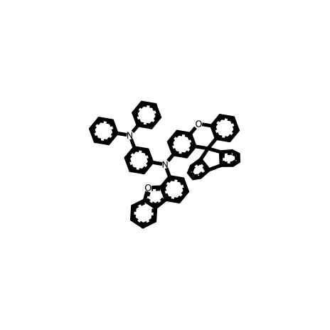 c1ccc(N(c2ccccc2)c2cccc(N(c3ccc4c(c3)C3(c5ccccc5O4)c4ccccc4-c4ccccc43)c3cccc4c3oc3ccccc34)c2)cc1